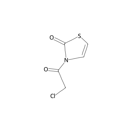 O=C(CCl)n1ccsc1=O